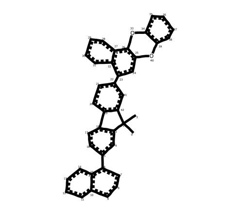 CC1(C)c2cc(-c3cccc4ccccc34)ccc2-c2ccc(-c3cc4c(c5ccccc35)Oc3ccccc3O4)cc21